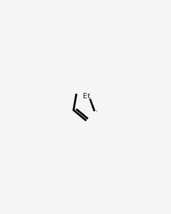 C=CC.[CH2]CC